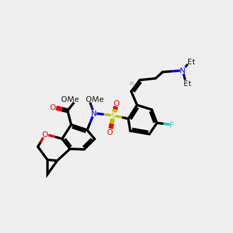 CCN(CC)CC/C=C\c1cc(F)ccc1S(=O)(=O)N(OC)c1ccc2c(c1C(=O)OC)OCC1CC21